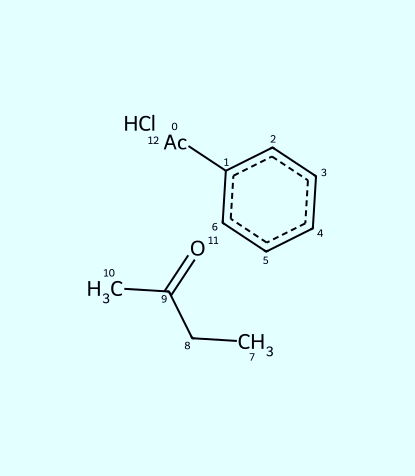 CC(=O)c1ccccc1.CCC(C)=O.Cl